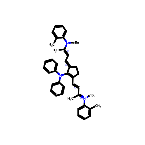 CCCCN(/C(C)=C/C=C1\CCC(/C=C/C(C)=[N+](\CCCC)c2ccccc2C)=C1N(c1ccccc1)c1ccccc1)c1ccccc1C